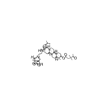 C=C(C)[C@@H]1CC[C@]2(NCCN3C[C@@H]4C[C@H]3CS4(=O)=O)CC[C@]3(C)[C@H](CC[C@@H]4[C@@]5(C)CC[C@H](OC(=O)CC(C)(C)C(C)=O)C(C)(C)[C@@H]5CC[C@]43C)[C@@H]12